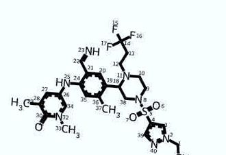 CCn1cc(S(=O)(=O)N2CCN(CCC(F)(F)F)C(c3cc(C=N)c(Nc4cc(C)c(=O)n(C)c4)cc3C)C2)cn1